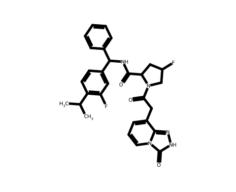 CC(C)c1ccc(C(NC(=O)C2CC(F)CN2C(=O)Cc2cccn3c(=O)[nH]nc23)c2ccccc2)cc1F